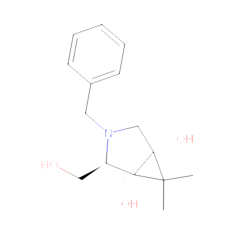 CC1(C)[C@]2(O)CN(Cc3ccccc3)[C@H](CO)[C@]12O